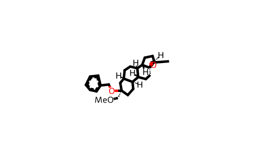 COC[C@@]1(OCc2ccccc2)CC[C@H]2[C@H](CC[C@@H]3[C@@H]2CC[C@]24COC(C)[C@H]2CC[C@@H]34)C1